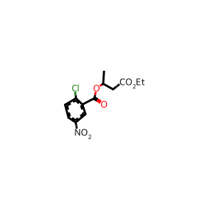 CCOC(=O)CC(C)OC(=O)c1cc([N+](=O)[O-])ccc1Cl